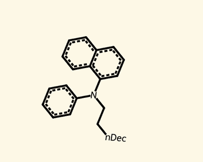 CCCCCCCCCCCCN(c1ccccc1)c1cccc2ccccc12